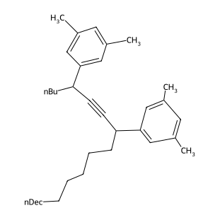 CC[CH]CC(C#CC(CCCCCCCCCCCCCCC)c1cc(C)cc(C)c1)c1cc(C)cc(C)c1